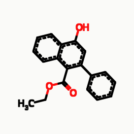 CCOC(=O)c1c(-c2ccccc2)cc(O)c2ccccc12